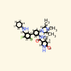 C[C@@H]1CN(c2ccc(-c3cc(CNC4CCCCC4)c(F)cc3F)cc2NC(=O)c2c[nH]c(=O)cc2C(F)(F)F)C[C@H](C)N1C